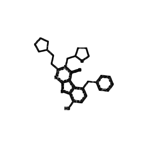 O=c1c2c(nc(CCC3CCCC3)n1CC1CCCO1)sc1c(O)ccc(Cc3ccccc3)c12